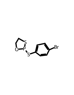 Brc1ccc(SP2OCCS2)cc1